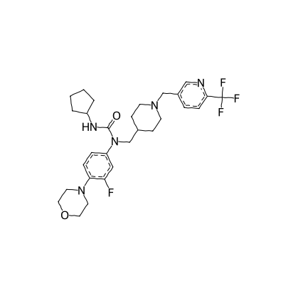 O=C(NC1CCCC1)N(CC1CCN(Cc2ccc(C(F)(F)F)nc2)CC1)c1ccc(N2CCOCC2)c(F)c1